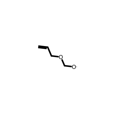 C=CCOC[O]